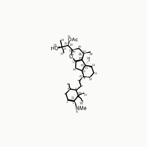 CN[C@H]1CCC(C)C(CC[C@@H]2CCC[C@@]3(C)C2CC2O[C@@H]([C@H](OC(C)=O)C(C)(C)O)C[C@@H](C)C23)C1(C)C